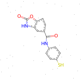 O=C(Nc1ccc(S)cc1)c1ccc2oc(=O)[nH]c2c1